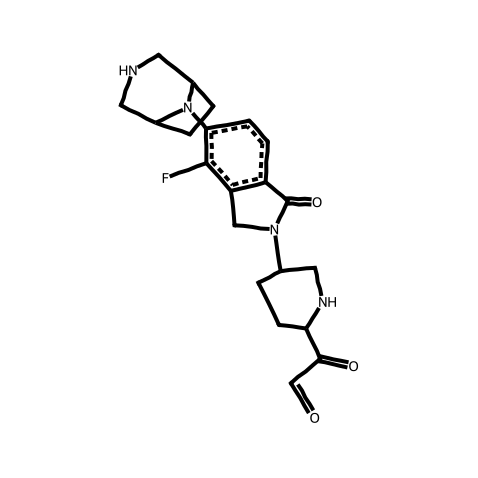 O=CC(=O)C1CCC(N2Cc3c(ccc(N4C5CCC4CNC5)c3F)C2=O)CN1